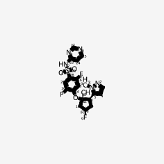 Cn1nccc1[C@H]1C[C@@H](F)C[C@@]1(C)Oc1cc(F)c(S(=O)(=O)Nc2ccncn2)cc1F